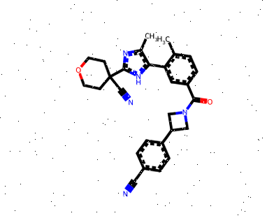 Cc1ccc(C(=O)N2CC(c3ccc(C#N)cc3)C2)cc1-c1[nH]c(C2(C#N)CCOCC2)nc1C